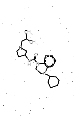 CC(C)CN1CCC(NC(=O)N2CCN(C3CCCCC3)c3ccccc32)C1